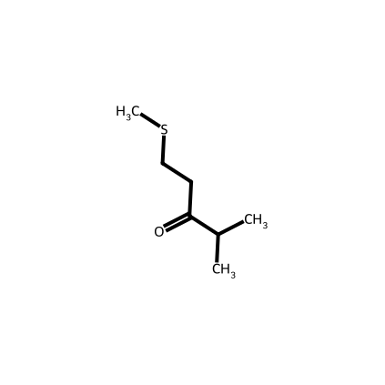 CSCCC(=O)C(C)C